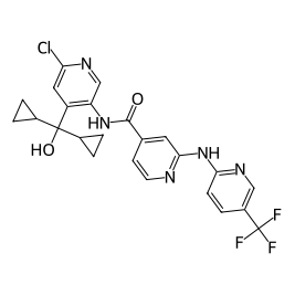 O=C(Nc1cnc(Cl)cc1C(O)(C1CC1)C1CC1)c1ccnc(Nc2ccc(C(F)(F)F)cn2)c1